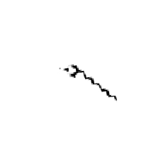 CCCCCCCCCCc1cnc(N)nc1